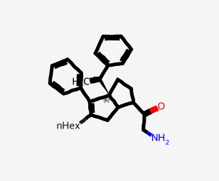 C=C(c1ccccc1)[C@@]12CCC(C(=O)CN)C1CC(CCCCCC)=C2c1ccccc1